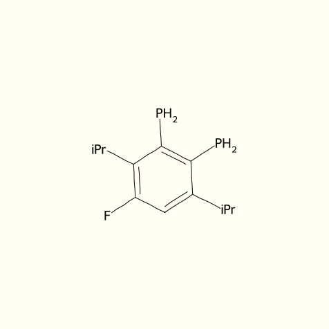 CC(C)c1cc(F)c(C(C)C)c(P)c1P